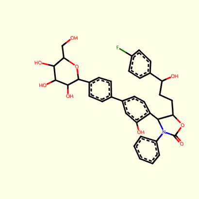 O=C1OC(CCC(O)c2ccc(F)cc2)C(c2ccc(-c3ccc(C4OC(CO)C(O)C(O)C4O)cc3)cc2O)N1c1ccccc1